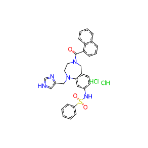 Cl.Cl.O=C(c1cccc2ccccc12)N1CCN(Cc2c[nH]cn2)c2cc(NS(=O)(=O)c3ccccc3)ccc2C1